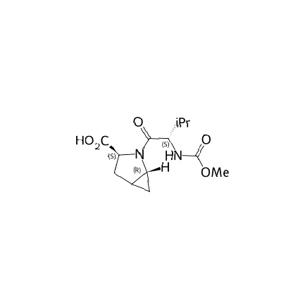 COC(=O)N[C@H](C(=O)N1[C@@H]2CC2C[C@H]1C(=O)O)C(C)C